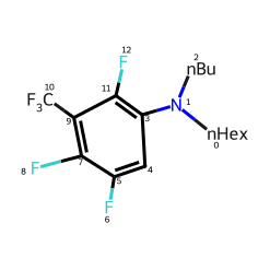 CCCCCCN(CCCC)c1cc(F)c(F)c(C(F)(F)F)c1F